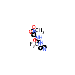 CN1C(=O)COc2ccc(NC(=O)c3cnn(-c4cccc5ncccc45)c3C(F)(F)F)cc21